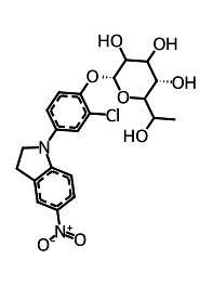 CC(O)C1O[C@H](Oc2ccc(N3CCc4cc([N+](=O)[O-])ccc43)cc2Cl)C(O)C(O)[C@@H]1O